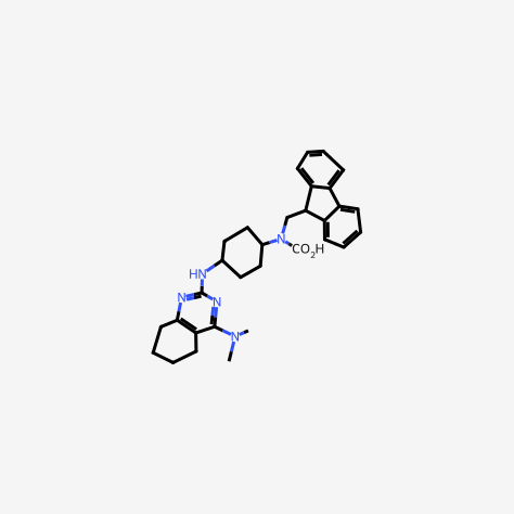 CN(C)c1nc(NC2CCC(N(CC3c4ccccc4-c4ccccc43)C(=O)O)CC2)nc2c1CCCC2